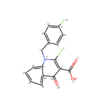 O=C(O)c1c(F)n(Cc2ccc(F)cc2)c2ccccc2c1=O